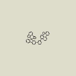 c1cc(-c2ccc3c(c2)C2(c4ccccc4-3)c3ccccc3-c3cccc4cccc2c34)cc(-c2ccc3c4c(cccc24)-c2ccccc2O3)c1